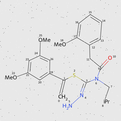 C=C(S/C(=N\N)N(CC(C)C)C(=O)Cc1ccccc1OC)c1cc(OC)cc(OC)c1